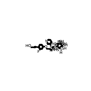 BC1(S)C(S)(S)C(S)(S)C(S)(S)C1(S)Sc1nnc(COc2ccc(C#CCO)c(F)c2)n1-c1cccnc1